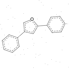 [c]1ccc(-c2cc(-c3ccccc3)co2)cc1